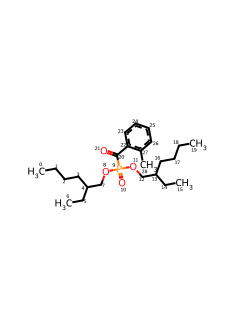 CCCCC(CC)COP(=O)(OCC(CC)CCCC)C(=O)c1ccccc1C